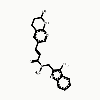 Cc1c(CN(C)C(=O)/C=C/c2cnc3c(c2)CCC(O)N3)oc2ccccc12